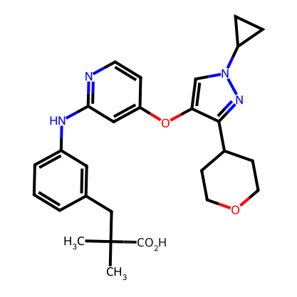 CC(C)(Cc1cccc(Nc2cc(Oc3cn(C4CC4)nc3C3CCOCC3)ccn2)c1)C(=O)O